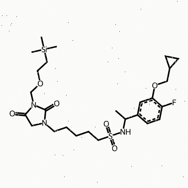 CC(NS(=O)(=O)CCCCCN1CC(=O)N(COCC[Si](C)(C)C)C1=O)c1ccc(F)c(OCC2CC2)c1